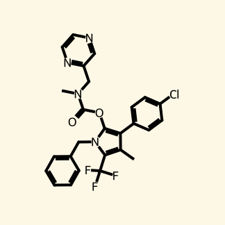 Cc1c(-c2ccc(Cl)cc2)c(OC(=O)N(C)Cc2cnccn2)n(Cc2ccccc2)c1C(F)(F)F